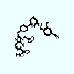 N#Cc1ccc(COc2cccc(C3=CCC(Cc4nc5ccc(C(=O)O)nc5n4CC4CCO4)CC3)n2)c(F)c1